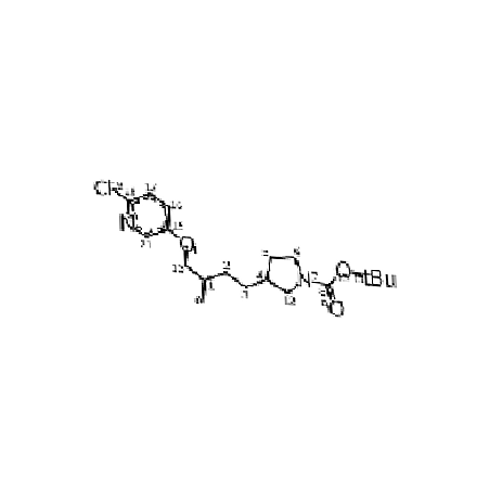 CC(CCC1CCN(C(=O)OC(C)(C)C)C1)COc1ccc(Cl)nc1